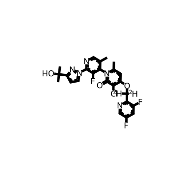 [2H]C([2H])(Oc1cc(C)n(-c2c(C)cnc(-n3ccc(C(C)(C)O)n3)c2F)c(=O)c1Cl)c1ncc(F)cc1F